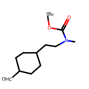 CN(CCC1CCC(C=O)CC1)C(=O)OC(C)(C)C